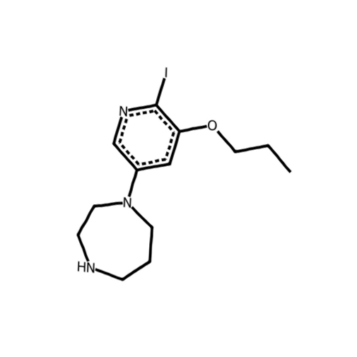 CCCOc1cc(N2CCCNCC2)cnc1I